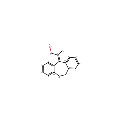 CC(CBr)=C1c2ccccc2CCc2ccccc21